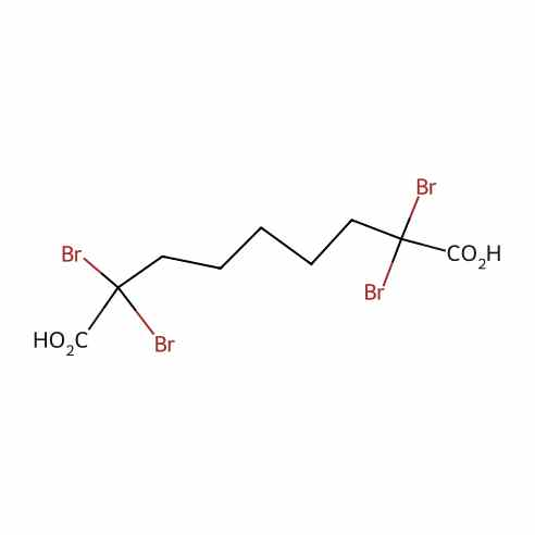 O=C(O)C(Br)(Br)CCCCCC(Br)(Br)C(=O)O